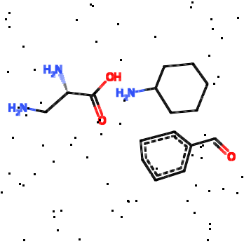 NC1CCCCC1.NC[C@H](N)C(=O)O.O=Cc1ccccc1